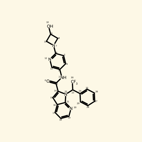 O=C(Nc1ccc(N2CC(O)C2)nc1)c1cc2cccnc2n1C(c1ccccc1)C(F)(F)F